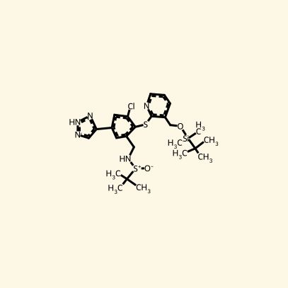 CC(C)(C)[S+]([O-])NCc1cc(-c2cn[nH]n2)cc(Cl)c1Sc1ncccc1CO[Si](C)(C)C(C)(C)C